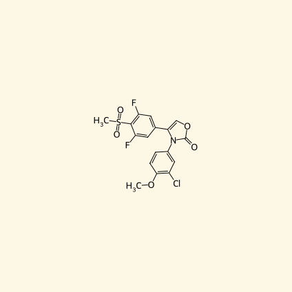 COc1ccc(-n2c(-c3cc(F)c(S(C)(=O)=O)c(F)c3)coc2=O)cc1Cl